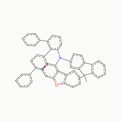 CC1(C)c2ccccc2-c2ccc(N(c3cccc(-c4ccccc4)c3-c3ccc(-c4ccccc4)cc3)c3cccc4oc5ccccc5c34)cc21